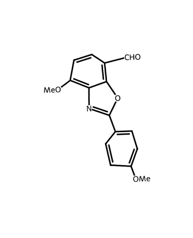 COc1ccc(-c2nc3c(OC)ccc(C=O)c3o2)cc1